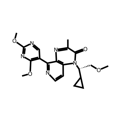 COC[C@H](C1CC1)n1c(=O)c(C)nc2c(-c3cnc(OC)nc3OC)nccc21